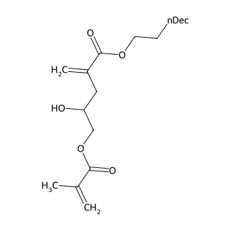 C=C(C)C(=O)OCC(O)CC(=C)C(=O)OCCCCCCCCCCCC